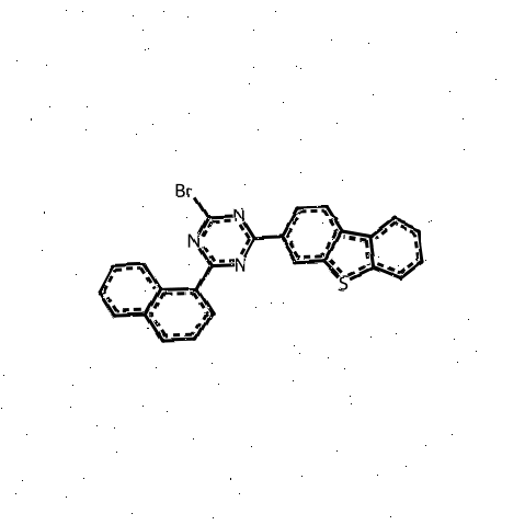 Brc1nc(-c2ccc3c(c2)sc2ccccc23)nc(-c2cccc3ccccc23)n1